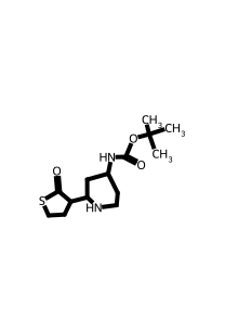 CC(C)(C)OC(=O)NC1CCNC(C2CCSC2=O)C1